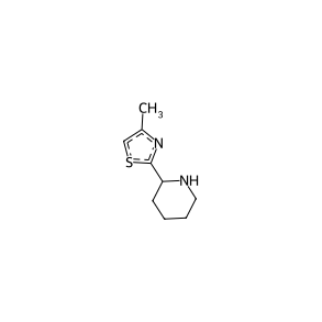 Cc1csc(C2CCCCN2)n1